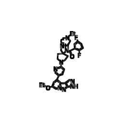 CCOc1cc(-c2ccc(N3CCC(CN4CCN(CC)CC4)(NC(=O)c4cc(F)ccc4F)CC3)nc2)c2c3cn[nH]c3nn2c1